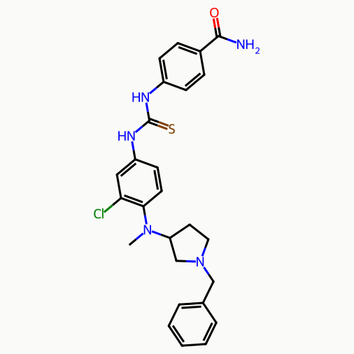 CN(c1ccc(NC(=S)Nc2ccc(C(N)=O)cc2)cc1Cl)C1CCN(Cc2ccccc2)C1